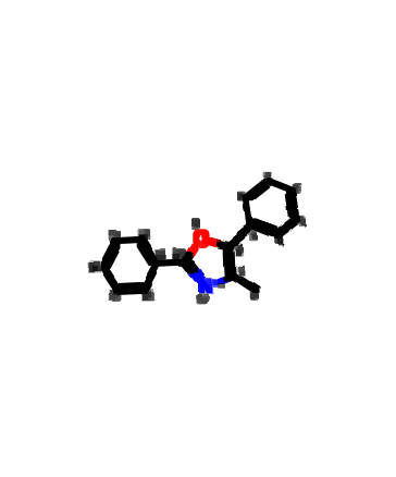 CC1=C(c2ccccc2)OC(c2ccccc2)=[N+]1